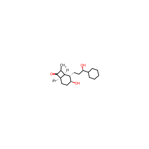 CC1C(=O)[C@]2(C(C)C)CC[C@H](O)[C@@H](CC[C@@H](O)C3CCCCC3)[C@H]12